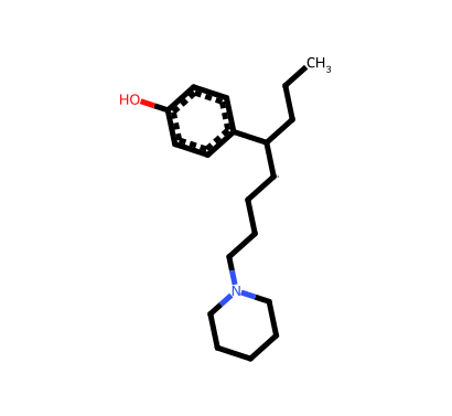 CCCC([CH]CCCN1CCCCC1)c1ccc(O)cc1